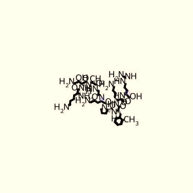 Cc1ccccc1C[C@H](NC(=O)[C@@H]1CCCN1C(=O)/C(CCCN)=N/C(=O)CNC(=O)[C@H](C)NC(=O)[C@@H](NC(=O)[C@@H](N)CCCCN)[C@@H](O)CN)C(=O)N[C@@H](CCCCN)C(=O)N/C(=C\CCNC(=N)N)C(=O)O